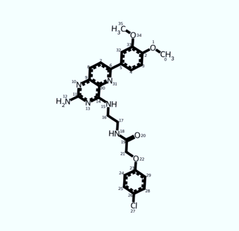 COc1ccc(-c2ccc3nc(N)nc(NCCNC(=O)COc4ccc(Cl)cc4)c3n2)cc1OC